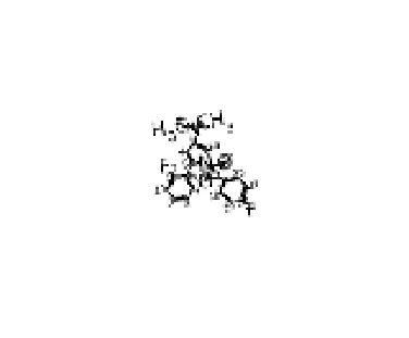 CN(C)c1cc(-c2ccccc2F)n(S(=O)(=O)c2ccc(F)cc2)c1